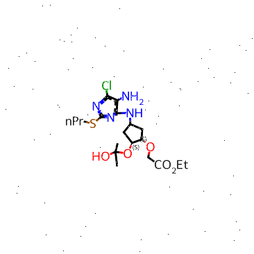 CCCSc1nc(Cl)c(N)c(NC2C[C@H](OCC(=O)OCC)[C@@H](OC(C)(C)O)C2)n1